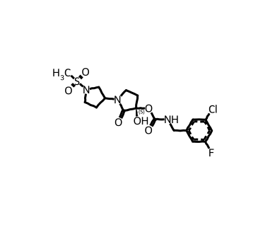 CS(=O)(=O)N1CCC(N2CC[C@](O)(OC(=O)NCc3cc(F)cc(Cl)c3)C2=O)C1